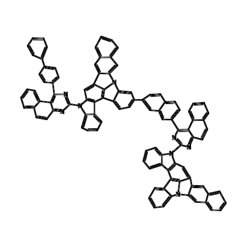 c1ccc(-c2ccc(-c3nc(-n4c5ccccc5c5c6c7ccc(-c8ccc9ccc(-c%10nc(-n%11c%12ccccc%12c%12c%13c%14ccccc%14n%14c%15cc%16ccccc%16cc%15c(cc%12%11)c%13%14)nc%11ccc%12ccccc%12c%10%11)cc9c8)cc7n7c8cc9ccccc9cc8c(cc54)c67)nc4ccc5ccccc5c34)cc2)cc1